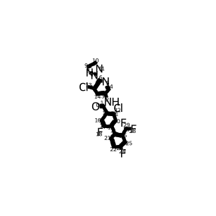 O=C(Nc1cnc(-n2nccn2)c(Cl)c1)c1cc(F)c(-c2ccc(F)cc2C(F)F)cc1Cl